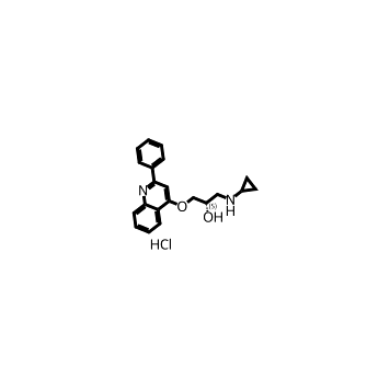 Cl.O[C@@H](CNC1CC1)COc1cc(-c2ccccc2)nc2ccccc12